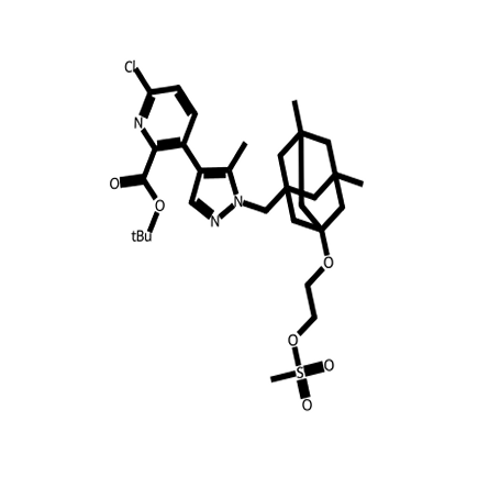 Cc1c(-c2ccc(Cl)nc2C(=O)OC(C)(C)C)cnn1CC12CC3(C)CC(C)(C1)CC(OCCOS(C)(=O)=O)(C3)C2